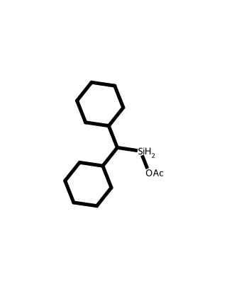 CC(=O)O[SiH2]C(C1CCCCC1)C1CCCCC1